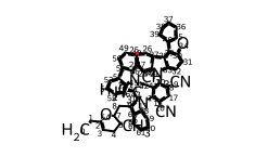 C=CC1=CCC(C)C(Cc2c(C=C)n(-c3c(C#N)cc(C#N)c(-n4c5ccccc5c5c6c(ccc54)oc4ccccc46)c3C(C)(C)n3c4ccccc4c4ccccc43)c3ccccc23)O1